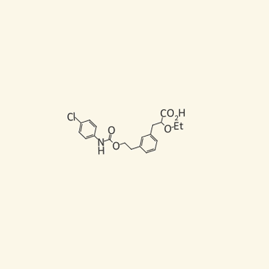 CCOC(Cc1cccc(CCOC(=O)Nc2ccc(Cl)cc2)c1)C(=O)O